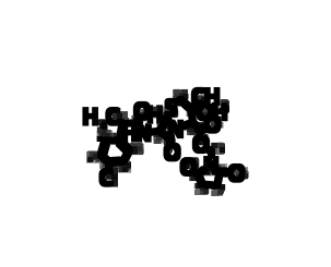 CC(C(=O)NC1C(=O)N2C(C(=O)OCN3C(=O)CCC3=O)C(C)(O)CS[C@@H]12)c1ccc(Cl)cc1